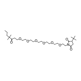 CCCC(C)(C)C(=O)CCOCCOCCOCCOCCOCCOCCN1C(=O)CC(C(C)(C)C)C1=O